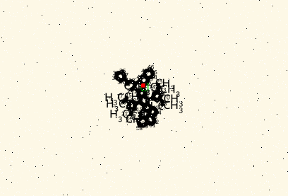 CC(C)(C)c1cc(-c2c3c(c(-c4cc(C(C)(C)C)cc(C(C)(C)C)c4)c4cc(-c5ccc(-c6ccccc6)cc5-c5ccc6ccccc6c5)c(Cl)cc24)-c2cc4cccc5ccc6ccc-3c2c6c54)cc(C(C)(C)C)c1